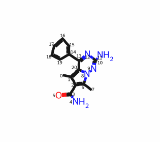 Cc1c(C(N)=O)c(C)n2nc(N)nc(-c3ccccc3)c12